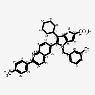 CCc1cccc(Cn2c(-c3ccc4nc(-c5ccc(C(F)(F)F)cc5)ccc4c3)c(C3CCCCC3)c3sc(C(=O)O)cc32)c1